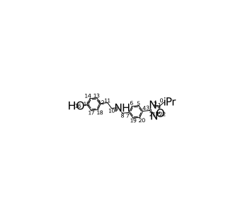 CC(C)c1nc(-c2ccc(CNCCc3ccc(O)cc3)cc2)no1